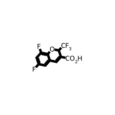 O=C(O)C1=Cc2cc(F)cc(F)c2OC1C(F)(F)F